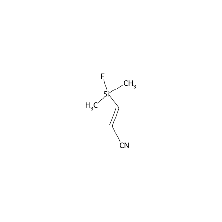 C[Si](C)(F)C=CC#N